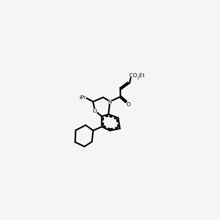 CCOC(=O)/C=C/C(=O)N1CC(C(C)C)Oc2c(C3CCCCC3)cccc21